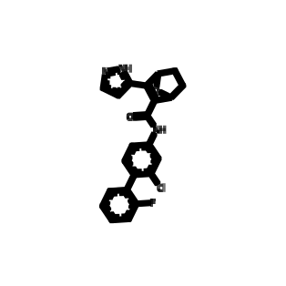 O=C(Nc1ccc(-c2ccccc2F)c(Cl)c1)C1=C(c2ccn[nH]2)C2CCC1O2